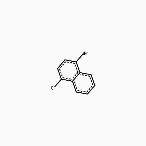 CC(C)c1ccc(Cl)c2ccccc12